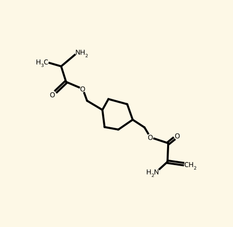 C=C(N)C(=O)OCC1CCC(COC(=O)C(C)N)CC1